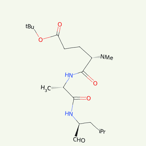 CN[C@@H](CCC(=O)OC(C)(C)C)C(=O)N[C@@H](C)C(=O)N[C@H](C=O)CC(C)C